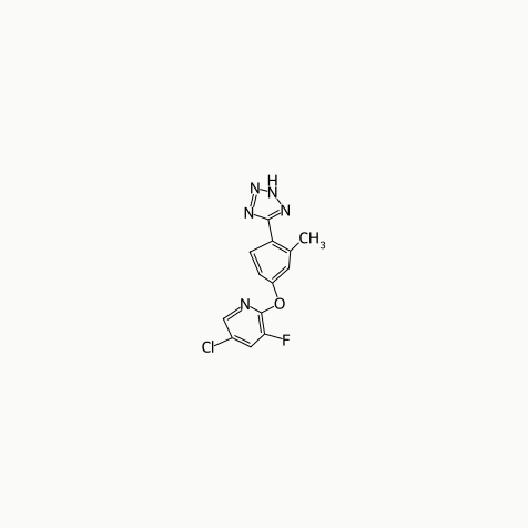 Cc1cc(Oc2ncc(Cl)cc2F)ccc1-c1nn[nH]n1